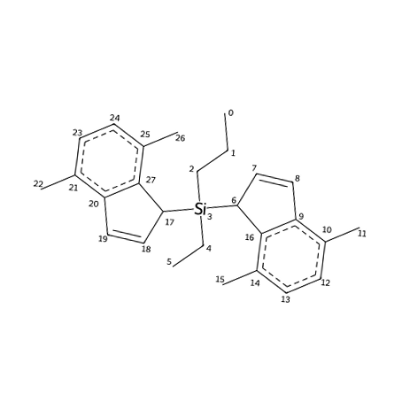 CCC[Si](CC)(C1C=Cc2c(C)ccc(C)c21)C1C=Cc2c(C)ccc(C)c21